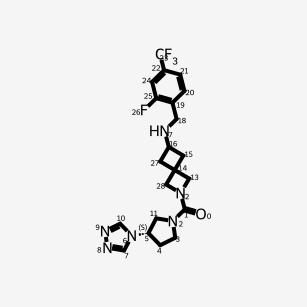 O=C(N1CC[C@H](n2cnnc2)C1)N1CC2(CC(NCc3ccc(C(F)(F)F)cc3F)C2)C1